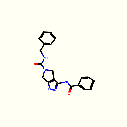 O=C(Nc1n[nH]c2c1CN(C(=O)NCc1ccccc1)C2)c1ccccc1